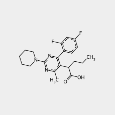 CCCC(C(=O)O)c1c(C)nc(N2CCCCC2)nc1-c1ccc(F)cc1F